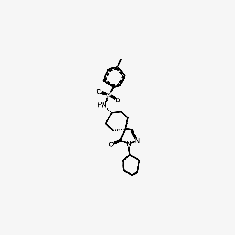 Cc1ccc(S(=O)(=O)N[C@H]2CC[C@@]3(C=NN(C4CCCCC4)C3=O)CC2)cc1